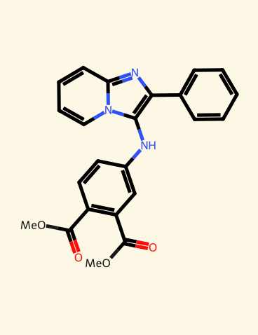 COC(=O)c1ccc(Nc2c(-c3ccccc3)nc3ccccn23)cc1C(=O)OC